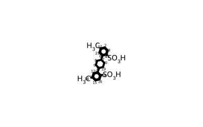 Cc1ccc(S(=O)(=O)O)c(C2CCC(c3cc(C)ccc3S(=O)(=O)O)CC2)c1